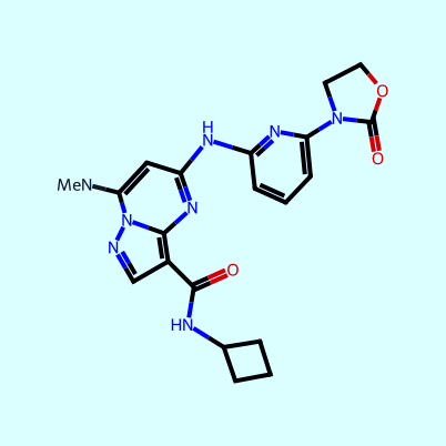 CNc1cc(Nc2cccc(N3CCOC3=O)n2)nc2c(C(=O)NC3CCC3)cnn12